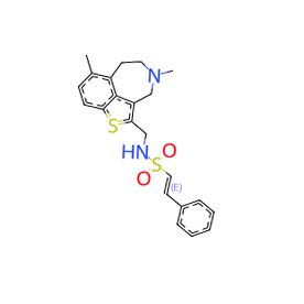 Cc1ccc2sc(CNS(=O)(=O)/C=C/c3ccccc3)c3c2c1CCN(C)C3